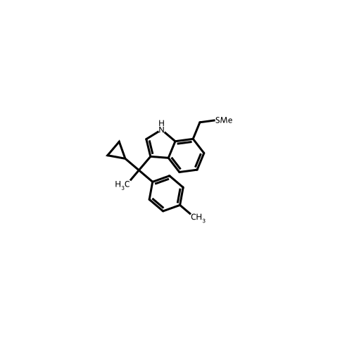 CSCc1cccc2c(C(C)(c3ccc(C)cc3)C3CC3)c[nH]c12